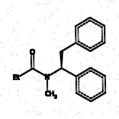 CCC(=O)N(C)[C@@H](Cc1ccccc1)c1ccccc1